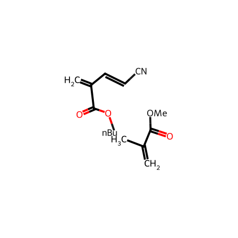 C=C(C)C(=O)OC.C=C(C=CC#N)C(=O)OCCCC